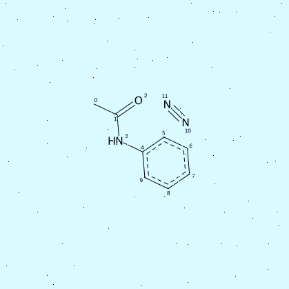 CC(=O)Nc1ccccc1.N#N